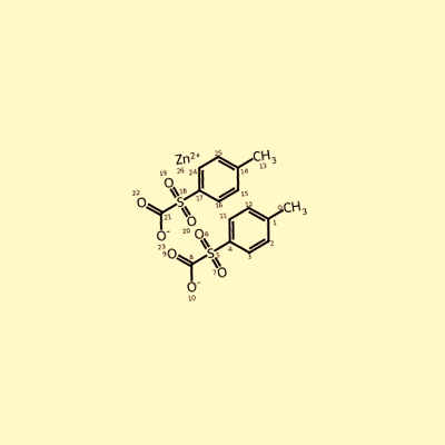 Cc1ccc(S(=O)(=O)C(=O)[O-])cc1.Cc1ccc(S(=O)(=O)C(=O)[O-])cc1.[Zn+2]